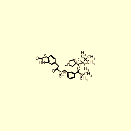 CN(C)C(=O)c1cccc([C@@H](CN2CCC(O[Si](C)(C)C(C)(C)C)C2)N(C)C(=O)Cc2ccc3sc(=O)[nH]c3c2)c1